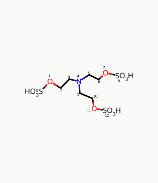 O=S(=O)(O)OCCN(CCOS(=O)(=O)O)CCOS(=O)(=O)O